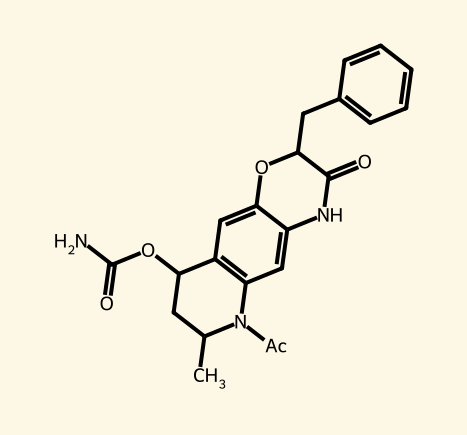 CC(=O)N1c2cc3c(cc2C(OC(N)=O)CC1C)OC(Cc1ccccc1)C(=O)N3